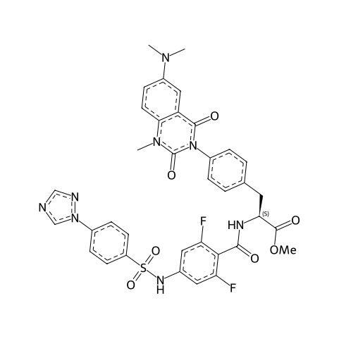 COC(=O)[C@H](Cc1ccc(-n2c(=O)c3cc(N(C)C)ccc3n(C)c2=O)cc1)NC(=O)c1c(F)cc(NS(=O)(=O)c2ccc(-n3cncn3)cc2)cc1F